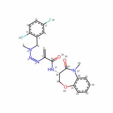 C=C(/N=N\N(C)Cc1cc(F)ccc1F)C(=O)N[C@H]1COc2ccccc2N(C)C1=O